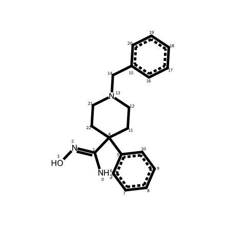 N/C(=N\O)C1(c2ccccc2)CCN(Cc2ccccc2)CC1